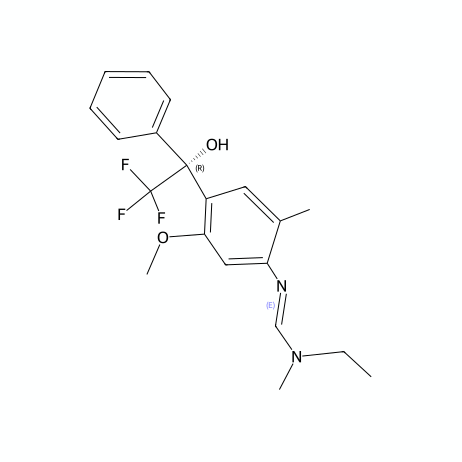 CCN(C)/C=N/c1cc(OC)c([C@](O)(c2ccccc2)C(F)(F)F)cc1C